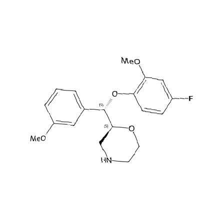 COc1cccc([C@H](Oc2ccc(F)cc2OC)[C@@H]2CNCCO2)c1